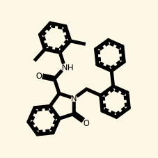 Cc1cccc(C)c1NC(=O)C1c2ccccc2C(=O)N1Cc1ccccc1-c1ccccc1